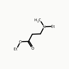 CCOC(=O)CCN(C)CC